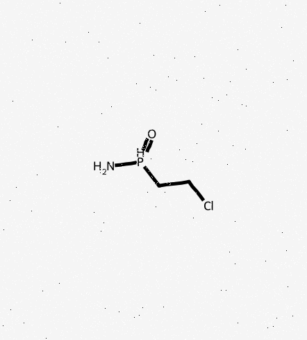 N[PH](=O)CCCl